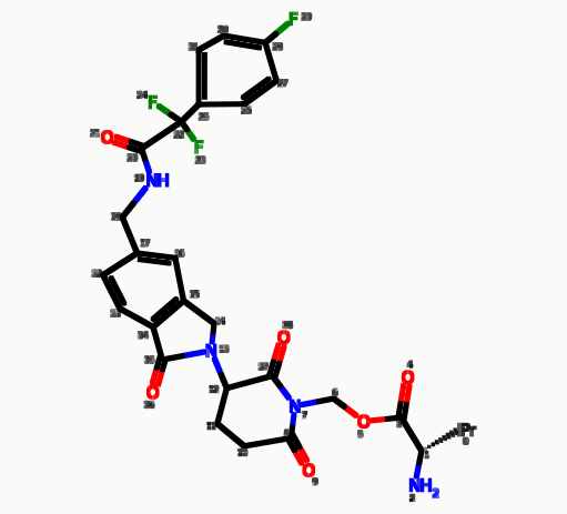 CC(C)[C@H](N)C(=O)OCN1C(=O)CCC(N2Cc3cc(CNC(=O)C(F)(F)c4ccc(F)cc4)ccc3C2=O)C1=O